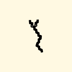 CCCC/C=C\CC/C=C\CCCCCC(OCCC)OCCC